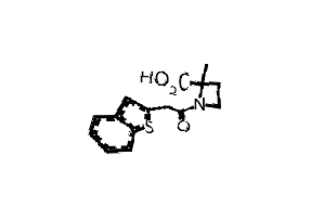 CC1(C(=O)O)CCN1C(=O)Cc1cc2ccccc2s1